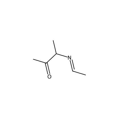 C/C=N/C(C)C(C)=O